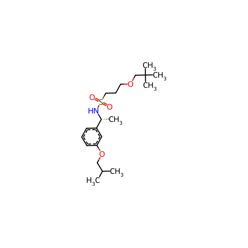 CC(C)COc1cccc([C@@H](C)NS(=O)(=O)CCCOCC(C)(C)C)c1